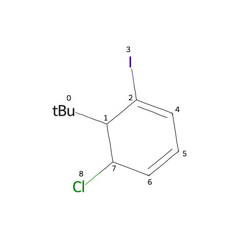 CC(C)(C)C1C(I)=CC=CC1Cl